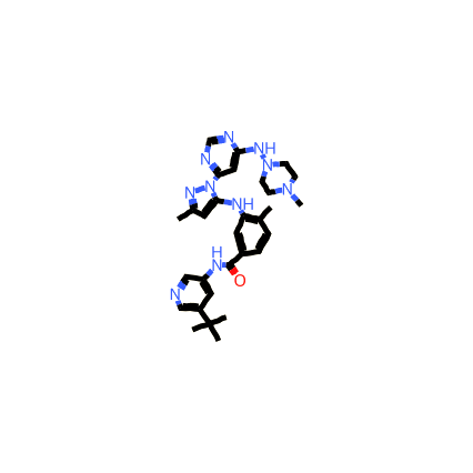 Cc1cc(Nc2cc(C(=O)Nc3cncc(C(C)(C)C)c3)ccc2C)n(-c2cc(NN3CCN(C)CC3)ncn2)n1